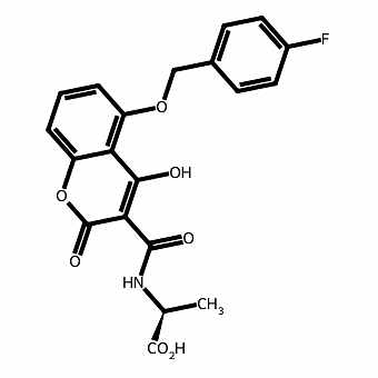 C[C@H](NC(=O)c1c(O)c2c(OCc3ccc(F)cc3)cccc2oc1=O)C(=O)O